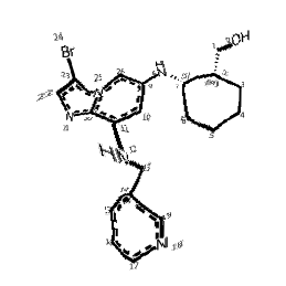 OC[C@@H]1CCCC[C@@H]1Nc1cc(NCc2cccnc2)c2ncc(Br)n2c1